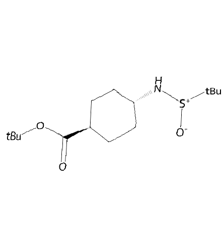 CC(C)(C)OC(=O)[C@H]1CC[C@H](N[S+]([O-])C(C)(C)C)CC1